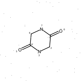 O=C1C[N]C(=O)C[N]1